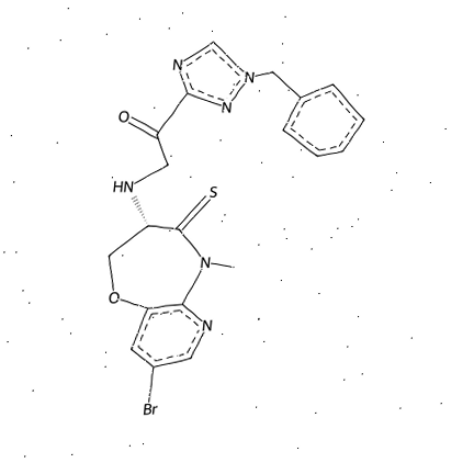 CN1C(=S)[C@@H](NCC(=O)c2ncn(Cc3ccccc3)n2)COc2cc(Br)cnc21